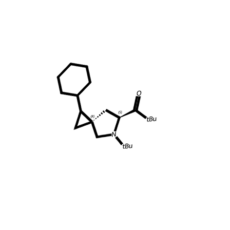 CC(C)(C)C(=O)[C@@H]1C[C@@]2(CC2C2CCCCC2)CN1C(C)(C)C